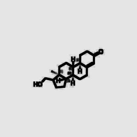 C[C@]12CC[C@H]3[C@@H](CCC4=CC(=O)CC[C@@H]43)[C@@H]1CCC2CO